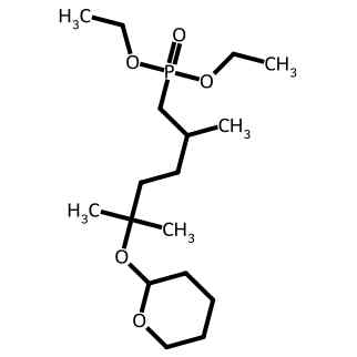 CCOP(=O)(CC(C)CCC(C)(C)OC1CCCCO1)OCC